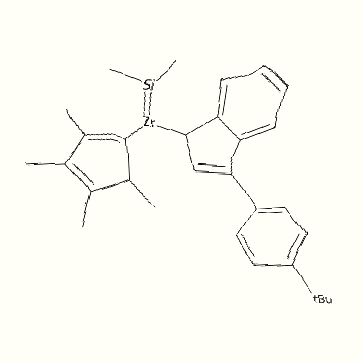 CC1=C(C)C(C)[C]([Zr]([CH]2C=C(c3ccc(C(C)(C)C)cc3)c3ccccc32)=[Si](C)C)=C1C